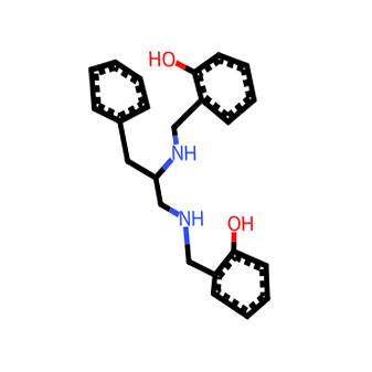 Oc1ccccc1CNCC(Cc1ccccc1)NCc1ccccc1O